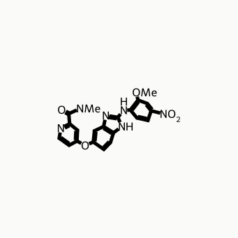 CNC(=O)c1cc(Oc2ccc3[nH]c(Nc4ccc([N+](=O)[O-])cc4OC)nc3c2)ccn1